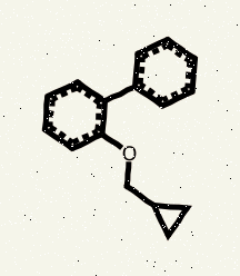 c1ccc(-c2ccccc2OCC2CC2)cc1